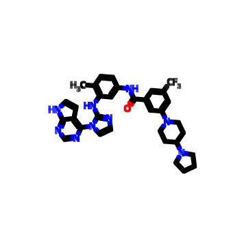 Cc1ccc(NC(=O)c2cc(N3CCC(N4CCCC4)CC3)cc(C(F)(F)F)c2)cc1Nc1nccn1-c1ncnc2[nH]ccc12